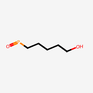 O=PCCCC[CH]O